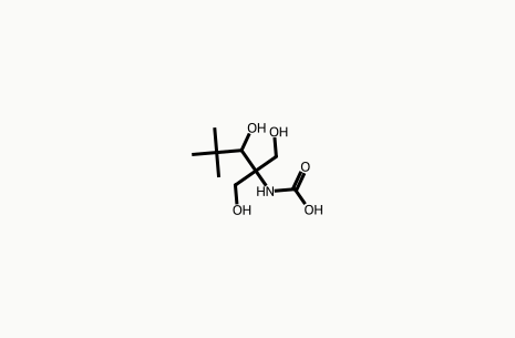 CC(C)(C)C(O)C(CO)(CO)NC(=O)O